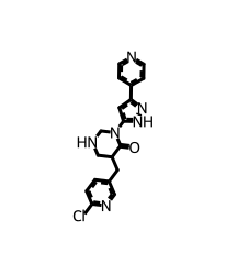 O=C1C(Cc2ccc(Cl)nc2)CNCN1c1cc(-c2ccncc2)n[nH]1